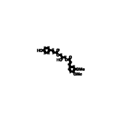 COc1ccc(C=CC(=O)OCC(O)COC(=O)C=Cc2ccc(O)cc2)cc1OC